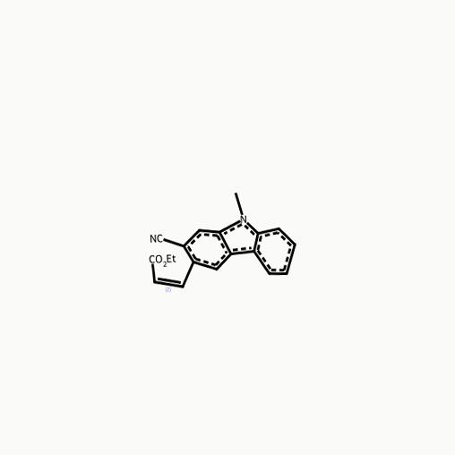 CCOC(=O)/C=C\c1cc2c3ccccc3n(C)c2cc1C#N